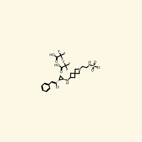 CC/C(=C\c1ccccc1)[C@@H]1C[C@H]1NC1CC2(C1)CN(CCNS(=O)(=O)CC)C2.O=C(O)C(F)(F)F.O=C(O)C(F)(F)F